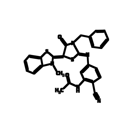 CC(=O)Nc1cc(N=C2SC(=C3Sc4ccccc4N3C)C(=O)N2Cc2ccccc2)ccc1C#N